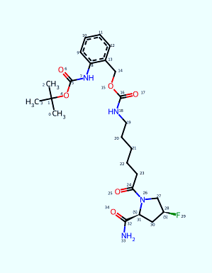 CC(C)(C)OC(=O)Nc1ccccc1COC(=O)NCCCCCC(=O)N1C[C@@H](F)C[C@H]1C(N)=O